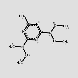 CON(C)c1nc(N)nc(N(OC)OC)n1